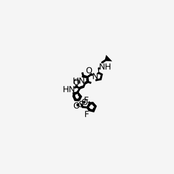 Cc1[nH]c(/C=C2\C(=O)Nc3ccc(S(=O)(=O)Cc4c(F)cccc4F)cc32)c(C)c1C(=O)N1CCC[C@@H]1CNCC1CC1